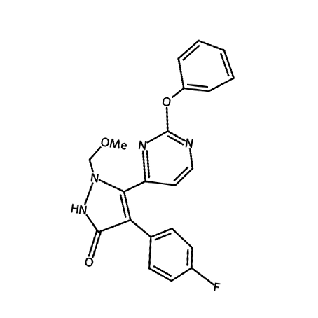 COCn1[nH]c(=O)c(-c2ccc(F)cc2)c1-c1ccnc(Oc2ccccc2)n1